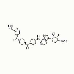 COc1ccc(-c2cnc3c(Nc4ccc(C(=O)N5CCN(C(=O)N6CCO[C@H](CN)C6)CC5)c(C)c4)nccn23)c(Cl)c1F